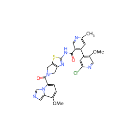 COc1cnc(Cl)cc1-c1cc(C)ncc1C(=O)Nc1nc2c(s1)CN(C(=O)c1ccc(OC)c3cncn13)C2